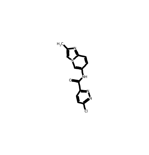 Cc1cn2cc(NC(=O)c3ccc(Cl)nn3)ccc2n1